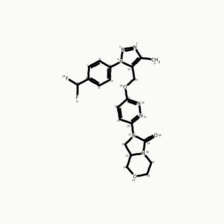 Cc1nnn(-c2ccc(C(F)F)cc2)c1COc1ccc(N2CC3COCCN3C2=O)nn1